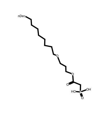 CCCCCCCCCCCCCCCCCCOCCCOC(=O)CP(=O)(O)O